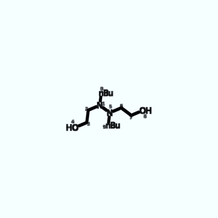 CCCCN(CCO)N(CCO)CCCC